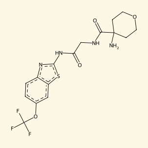 NC1(C(=O)NCC(=O)Nc2nc3ccc(OC(F)(F)F)cc3s2)CCOCC1